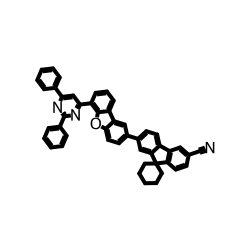 N#Cc1ccc2c(c1)-c1ccc(-c3ccc4oc5c(-c6cc(-c7ccccc7)nc(-c7ccccc7)n6)cccc5c4c3)cc1C21CCCCC1